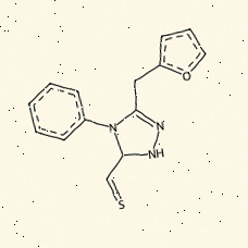 S=CC1NN=C(Cc2ccco2)N1c1ccccc1